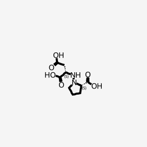 O=C(O)C[C@H](NN1CCC[C@H]1C(=O)O)C(=O)O